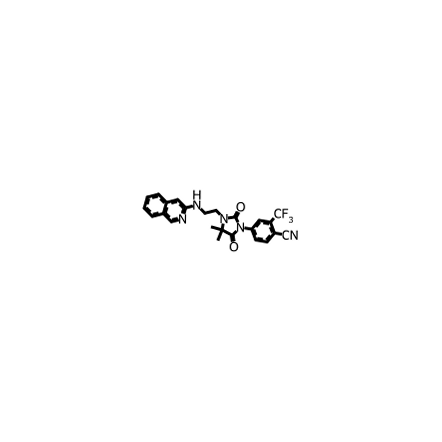 CC1(C)C(=O)N(c2ccc(C#N)c(C(F)(F)F)c2)C(=O)N1CCNc1cc2ccccc2cn1